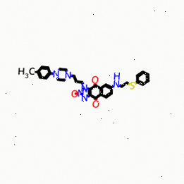 Cc1ccc(N2CCN(CCCn3c4c(n[n+]3[O-])C(=O)c3ccc(NCCSc5ccccc5)cc3C4=O)CC2)cc1